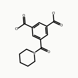 O=C(Cl)c1cc(C(=O)Cl)cc(C(=O)N2CCCCC2)c1